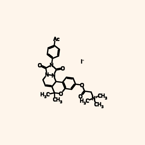 CC(=O)c1ccc(-n2c(=O)n3n(c2=O)C2C(=CC3)C(C)(C)Oc3cc(OC(=O)C[N+](C)(C)C)ccc32)cc1.[I-]